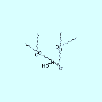 CCCCCCCCC(CCCCCC)C(=O)OCCCCCCN(CCO)CCN(CCCCCCOC(=O)C(CCCCCC)CCCCCCCC)C1CCC1